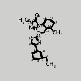 CCc1cccc(-c2csc(OCc3c(C)cccc3-n3nnn(C)c3=O)n2)c1